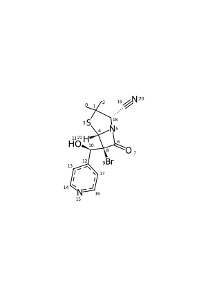 CC1(C)S[C@@H]2N(C(=O)[C@]2(Br)[C@H](O)c2ccncc2)[C@H]1C#N